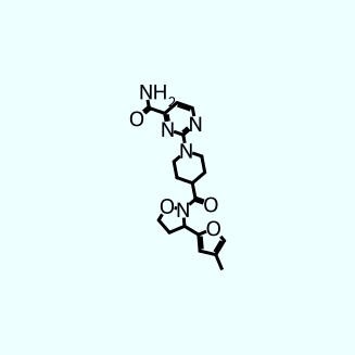 Cc1coc(C2CCON2C(=O)C2CCN(c3nccc(C(N)=O)n3)CC2)c1